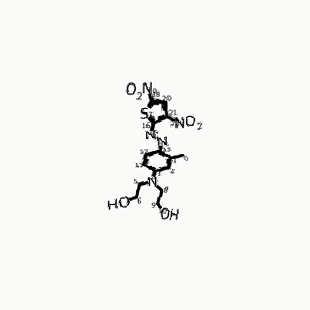 Cc1cc(N(CCO)CCO)ccc1N=Nc1sc([N+](=O)[O-])cc1[N+](=O)[O-]